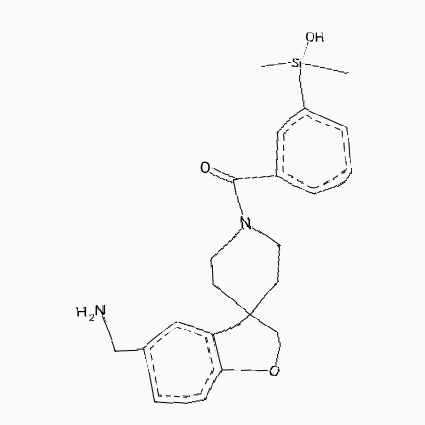 C[Si](C)(O)c1cccc(C(=O)N2CCC3(CC2)COc2ccc(CN)cc23)c1